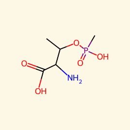 CC(OP(C)(=O)O)C(N)C(=O)O